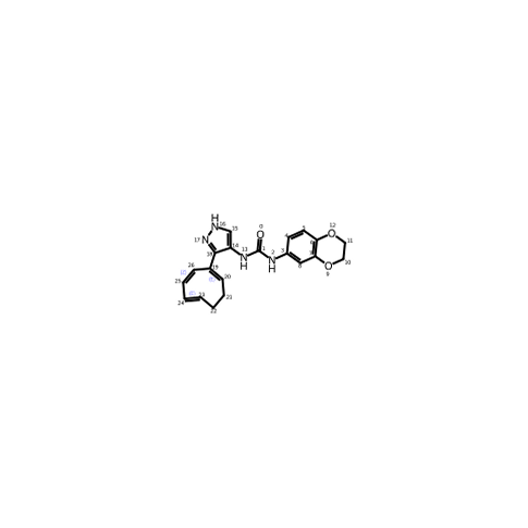 O=C(Nc1ccc2c(c1)OCCO2)Nc1c[nH]nc1C1=C/CC/C=C/C=C\1